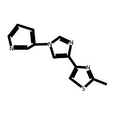 Cc1nc(-c2cn(-c3cccnc3)cn2)cs1